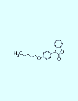 CCCCCOc1ccc(C2C(=O)Oc3ccccc32)cc1